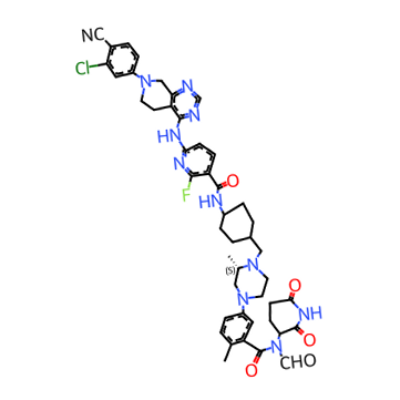 Cc1ccc(N2CCN(CC3CCC(NC(=O)c4ccc(Nc5ncnc6c5CCN(c5ccc(C#N)c(Cl)c5)C6)nc4F)CC3)[C@@H](C)C2)cc1C(=O)N(C=O)C1CCC(=O)NC1=O